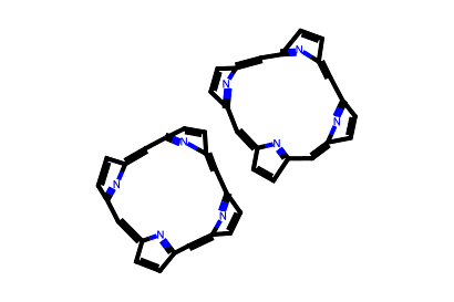 C1=CC2=NC1=CC1=NC(=CC3=NC(=CC4=NC(=C2)C=C4)C=C3)C=C1.C1=CC2=NC1=CC1=NC(=CC3=NC(=CC4=NC(=C2)C=C4)C=C3)C=C1